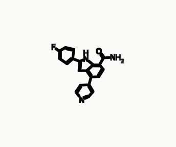 NC(=O)c1ccc(-c2ccncc2)c2cc(-c3ccc(F)cc3)[nH]c12